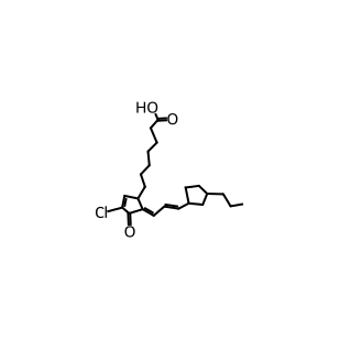 CCCC1CCC(C=CC=C2C(=O)C(Cl)=CC2CCCCCCC(=O)O)C1